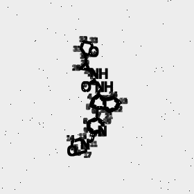 O=C(Nc1ccc(-c2ccc(CN3CCOCC3)nc2)c2ccccc12)NC1CC1C1CCCO1